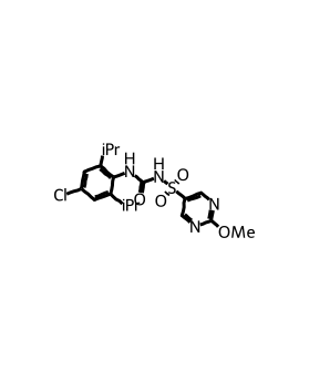 COc1ncc(S(=O)(=O)NC(=O)Nc2c(C(C)C)cc(Cl)cc2C(C)C)cn1